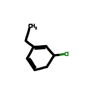 CCC1=CC(Cl)CC=C1